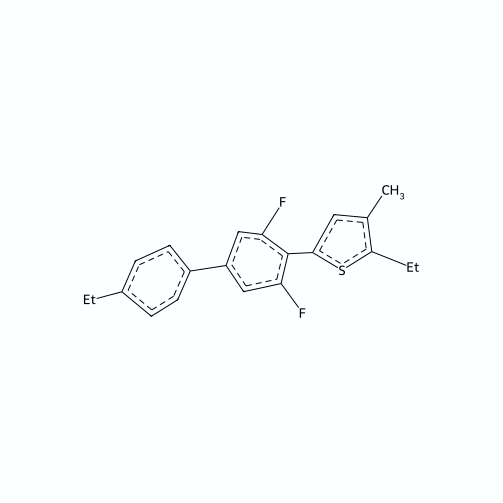 CCc1ccc(-c2cc(F)c(-c3cc(C)c(CC)s3)c(F)c2)cc1